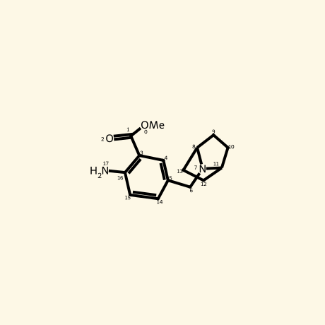 COC(=O)c1cc(CN2C3CCC2CC3)ccc1N